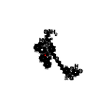 C[C@@H](OCc1ccc(CCCOCCCCCc2ccc3c(c2)n(C)c(=O)n3C2CCC(=O)NC2=O)cc1)[C@H](CCC(N)=O)NC(=O)[C@@H]1Cc2cccc3c2N1C(=O)[C@@H](NC(=O)OCC1c2ccccc2-c2ccccc21)CC3